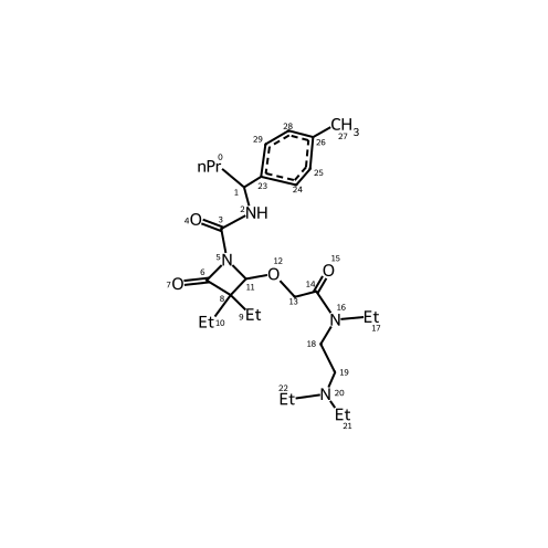 CCCC(NC(=O)N1C(=O)C(CC)(CC)C1OCC(=O)N(CC)CCN(CC)CC)c1ccc(C)cc1